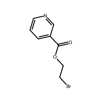 O=C(OCCBr)c1cccnc1